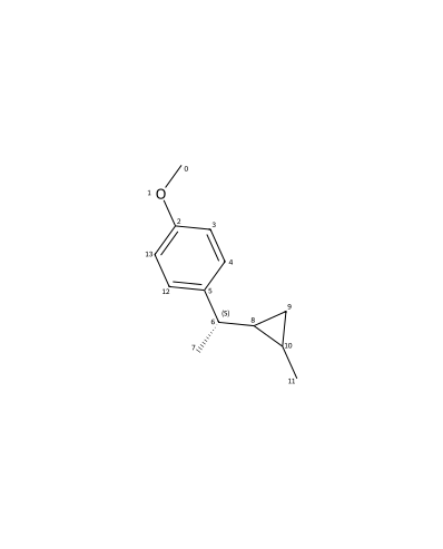 COc1ccc([C@@H](C)C2CC2C)cc1